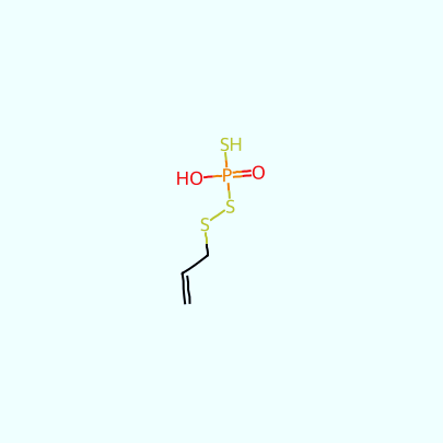 C=CCSSP(=O)(O)S